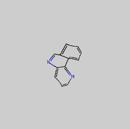 c1ccc2c(c1)cnc1cccnc12